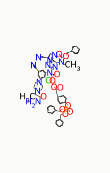 CCN(C(=O)OCc1ccccc1)c1nc(N(C(=O)OCOC(=O)Cc2ccc(OP(=O)(OCc3ccccc3)OCc3ccccc3)cc2)c2cc(C#N)cc(N3CCN(C(C)C(N)=O)CC3)c2Cl)nn2c(C#N)cnc12